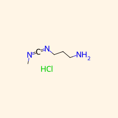 CN=C=NCCCN.Cl